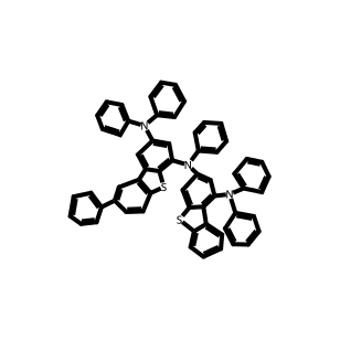 c1ccc(-c2ccc3sc4c(N(c5ccccc5)c5cc(N(c6ccccc6)c6ccccc6)c6c(c5)sc5ccccc56)cc(N(c5ccccc5)c5ccccc5)cc4c3c2)cc1